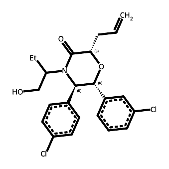 C=CC[C@@H]1O[C@H](c2cccc(Cl)c2)[C@@H](c2ccc(Cl)cc2)N(C(CC)CO)C1=O